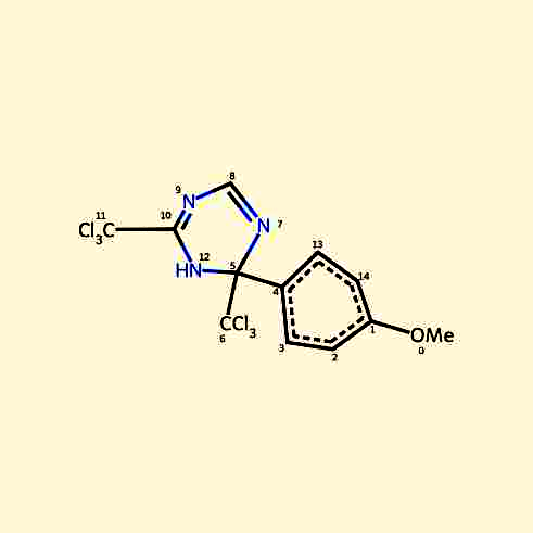 COc1ccc(C2(C(Cl)(Cl)Cl)N=CN=C(C(Cl)(Cl)Cl)N2)cc1